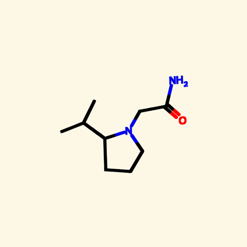 CC(C)C1CCCN1CC(N)=O